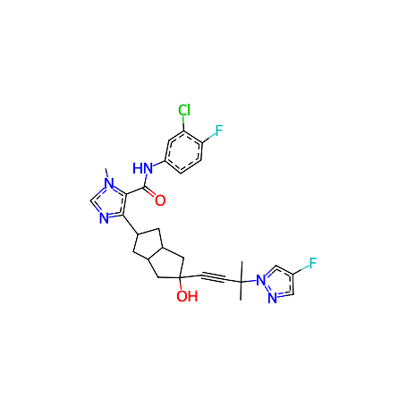 Cn1cnc(C2CC3CC(O)(C#CC(C)(C)n4cc(F)cn4)CC3C2)c1C(=O)Nc1ccc(F)c(Cl)c1